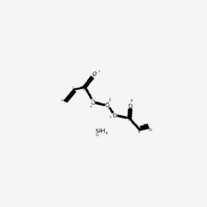 C=CC(=O)OOOC(=O)C=C.[SiH4]